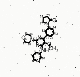 COc1c(Nc2cccnc2)nc(N2CCOCC2)nc1-c1cccc(N2CCCC2=O)c1